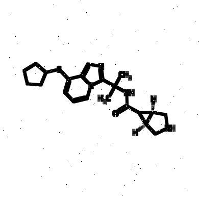 CC(C)(NC(=O)C1[C@H]2CNC[C@@H]12)c1ncc2c(SC3CCCC3)cccn12